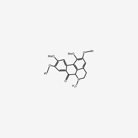 COc1cc2c(cc1OC(C)C)C(=O)C1c3c(cc(OC(C)C)c(OC)c3-2)CCN1C